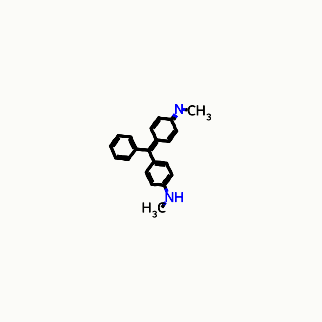 CN=C1C=CC(=C(c2ccccc2)c2ccc(NC)cc2)C=C1